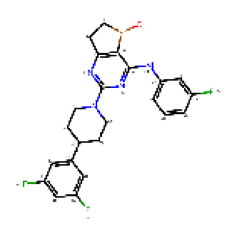 [O-][S+]1CCc2nc(N3CCC(c4cc(F)cc(F)c4)CC3)nc(Nc3cccc(F)c3)c21